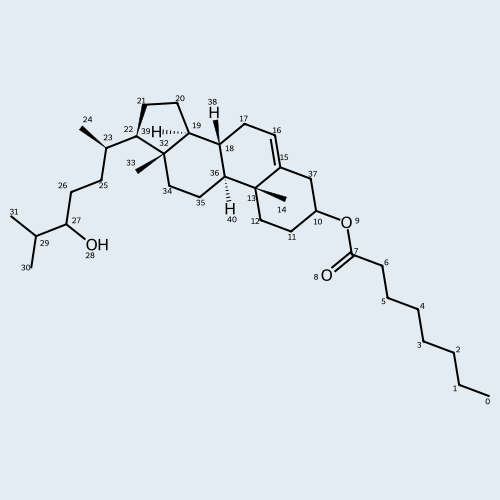 CCCCCCCC(=O)OC1CC[C@@]2(C)C(=CC[C@H]3[C@@H]4CC[C@H]([C@H](C)CCC(O)C(C)C)[C@@]4(C)CC[C@@H]32)C1